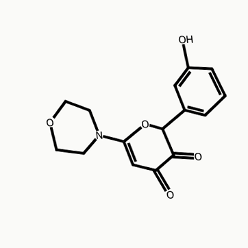 O=C1C=C(N2CCOCC2)OC(c2cccc(O)c2)C1=O